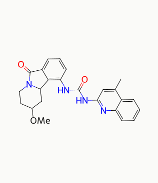 COC1CCN2C(=O)c3cccc(NC(=O)Nc4cc(C)c5ccccc5n4)c3C2C1